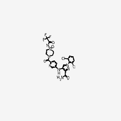 NC(=O)c1nn(-c2c(Cl)cccc2Cl)cc1Nc1ccc(C(=O)N2CCS(=O)(=NC(=O)C(F)(F)F)CC2)nc1